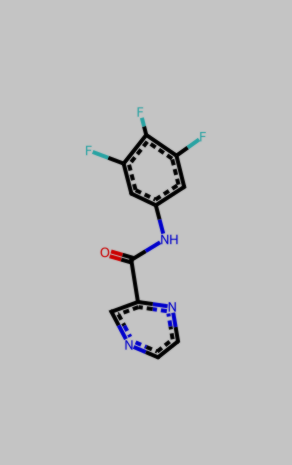 O=C(Nc1cc(F)c(F)c(F)c1)c1cnccn1